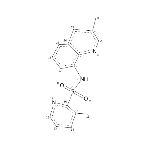 Cc1cnc2c(NS(=O)(=O)c3ncccc3C)cccc2c1